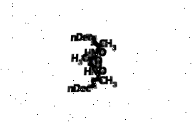 CCCCCCCCCCCCC(C)C(=O)NC(=O)/C=C(/C)C(=O)NC(=O)C(C)CCCCCCCCCCCC